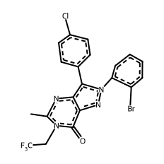 Cc1nc2c(-c3ccc(Cl)cc3)n(-c3ccccc3Br)nc2c(=O)n1CC(F)(F)F